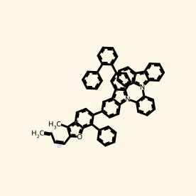 C=C/C=C\c1oc2c(-c3ccccc3)c(-c3ccc4c(c3)c3cc(-c5ccccc5-c5ccccc5)ccc3n4-c3ccccc3-n3c4ccccc4c4ccccc43)ccc2c1C